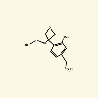 CCOC(=O)Cc1ccc(C2(NSC(C)(C)C)COC2)c(OC)c1